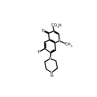 Cn1cc(C(=O)O)c(=O)c2cc(F)c(N3CCNCC3)cc21